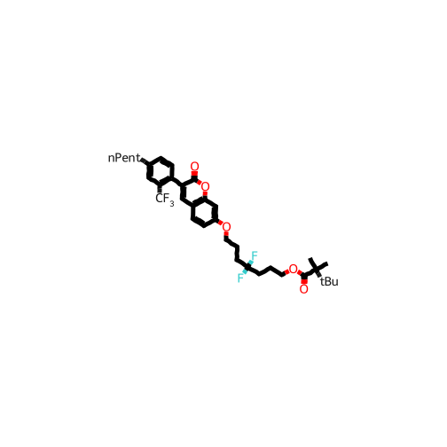 CCCCCc1ccc(-c2cc3ccc(OCCCC(F)(F)CCCOC(=O)C(C)(C)C(C)(C)C)cc3oc2=O)c(C(F)(F)F)c1